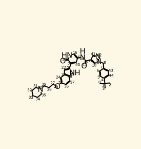 CC(C)(C)c1ccc(Cn2cc(C(=O)Nc3c[nH]c(=O)c(-c4cc5cc(OCCCN6CCCCC6)ccc5[nH]4)c3)cn2)cc1